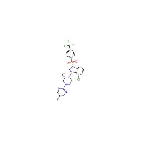 O=S(=O)(c1ccc(C(F)(F)F)cc1)n1nc(N2CCN(c3ncc(F)cn3)CC23CC3)c2c(Cl)cccc21